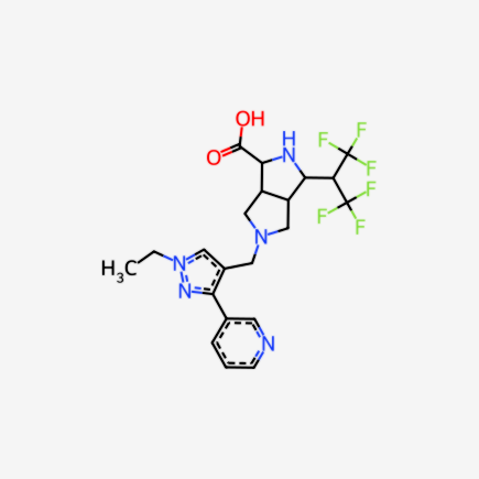 CCn1cc(CN2CC3C(C(=O)O)NC(C(C(F)(F)F)C(F)(F)F)C3C2)c(-c2cccnc2)n1